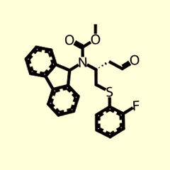 COC(=O)N(C1c2ccccc2-c2ccccc21)[C@H](CC=O)CSc1ccccc1F